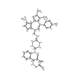 Cc1sc2c(c1C)C(c1ccc(Cl)cc1)=N[C@@H](CCN1CCN(Cc3ccccc3N3CCC(=O)NC3=O)CC1)c1nnc(C)n1-2